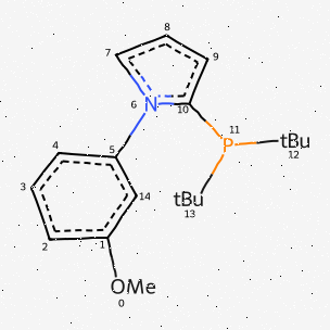 COc1cccc(-n2cccc2P(C(C)(C)C)C(C)(C)C)c1